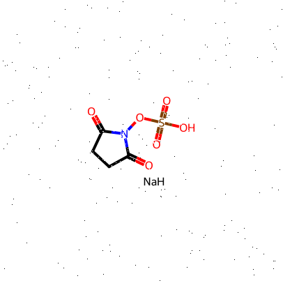 O=C1CCC(=O)N1OS(=O)(=O)O.[NaH]